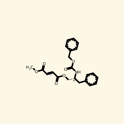 COC(=O)/C=C/C(=O)OC[C@@H](Cc1ccccc1)NC(=O)OCc1ccccc1